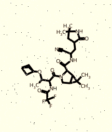 CC(OC12CC(C1)C2)C(NC(=O)C(F)(F)F)C(=O)N1CC2C(C1C(=O)NC(C#N)CC1CC(C)(C)NC1=O)C2(C)C